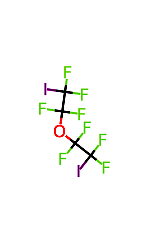 FC(F)(I)C(F)(F)OC(F)(F)C(F)(F)I